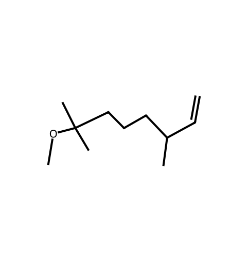 C=CC(C)CCCC(C)(C)OC